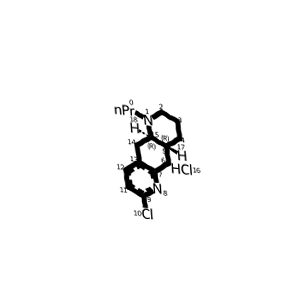 CCCN1CCC[C@@H]2Cc3nc(Cl)ccc3C[C@H]21.Cl